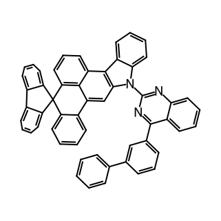 c1ccc(-c2cccc(-c3nc(-n4c5ccccc5c5c6cccc7c6c(cc54)-c4ccccc4C74c5ccccc5-c5ccccc54)nc4ccccc34)c2)cc1